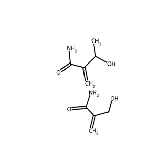 C=C(C(N)=O)C(C)O.C=C(CO)C(N)=O